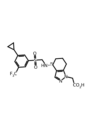 O=C(O)Cn1ncc2c1CCC[C@H]2NCS(=O)(=O)c1cc(C2CC2)cc(C(F)(F)F)c1